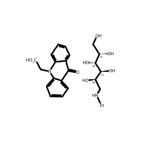 CCNC[C@@H](O)[C@H](O)[C@H](O)[C@@H](O)CO.O=C(O)Cn1c2ccccc2c(=O)c2ccccc21